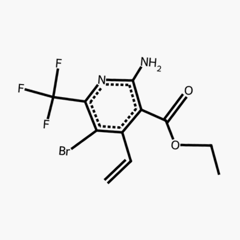 C=Cc1c(Br)c(C(F)(F)F)nc(N)c1C(=O)OCC